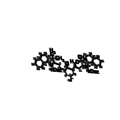 CCCCCCCCCCN1C(=CC=C2CCCC(C=CC3=[N+](CCCCCCCCCC)c4c(ccc5ccccc45)C3(C)C)=C2Cl)C(C)(C)c2ccc3ccccc3c21.[I-]